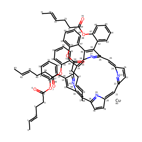 CC=CCCC(=O)Oc1ccccc1C1=CC2=CC3=NC(=CC4=NC(=CC5=NC(=C(c6ccccc6OC(=O)CCC=CC)C1=N2)C(c1ccccc1OC(=O)CCC=CC)=C5c1ccccc1OC(=O)CCC=CC)C=C4)C=C3.[Cu]